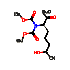 CC(C)COC(=O)[C@H](CCCC(O)C#N)N(C(=O)OC(C)(C)C)C(=O)OC(C)(C)C